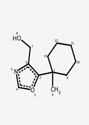 CC1(c2ocnc2CO)CCCCC1